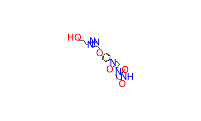 O=C1C(n2ccc(=O)[nH]c2=O)CCN1c1ccc(OCc2cn(CCCO)nn2)cc1